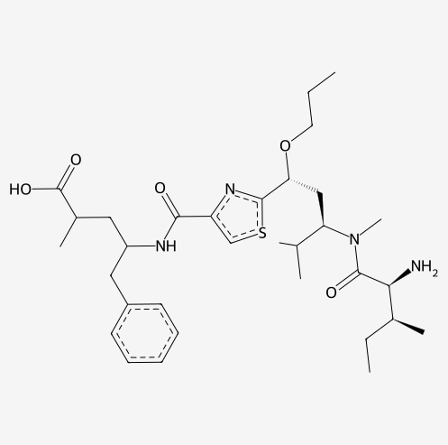 CCCO[C@H](C[C@H](C(C)C)N(C)C(=O)[C@@H](N)[C@@H](C)CC)c1nc(C(=O)NC(Cc2ccccc2)CC(C)C(=O)O)cs1